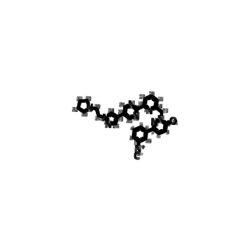 [C-]#[N+]c1cccc(-c2ccc(=O)n(Cc3cccc(-c4ncc(-c5cnn(CCN6CCCC6)c5)cn4)n3)n2)c1